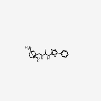 [BH3-][N+]12CCC(CC1)C(O)(CNC(=S)Nc1ncc(-c3ccccc3)s1)C2